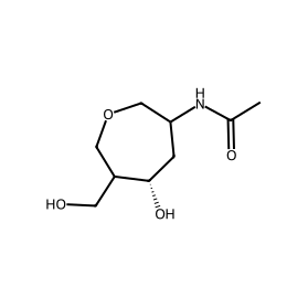 CC(=O)NC1COCC(CO)[C@@H](O)C1